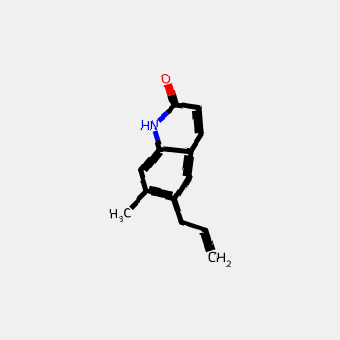 C=CCc1cc2ccc(=O)[nH]c2cc1C